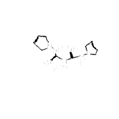 Cl.N=C(NC(=N)NN1CC=CC1)NN1CC=CC1